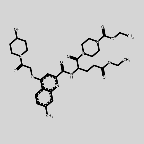 CCOC(=O)CCC(NC(=O)c1cc(OCC(=O)N2CCC(O)CC2)c2ccc(C)cc2n1)C(=O)N1CCN(C(=O)OCC)CC1